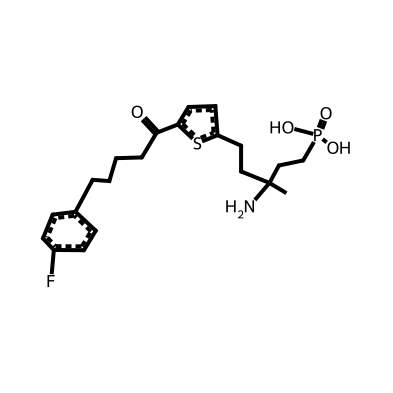 CC(N)(CCc1ccc(C(=O)CCCCc2ccc(F)cc2)s1)CCP(=O)(O)O